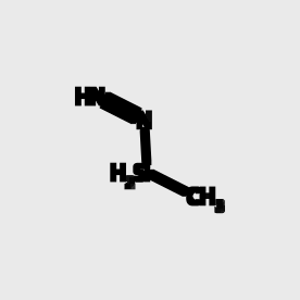 C[SiH2]N=N